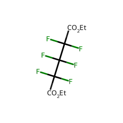 CCOC(=O)C(F)(F)C(F)(F)C(F)(F)C(=O)OCC